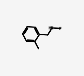 Cc1ccccc1CNF